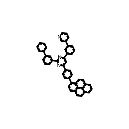 c1ccc(-c2cccc(-c3nc(-c4ccc(-c5ccc6ccc7cccc8ccc5c6c78)cc4)cc(-c4cccc(-c5cccnc5)c4)n3)c2)cc1